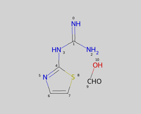 N=C(N)Nc1nccs1.O=CO